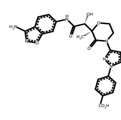 C[C@]1([C@@H](O)C(=O)Nc2ccc3c(N)noc3c2)OCCN(c2ccn(-c3ccc(C(=O)O)cc3)n2)C1=O